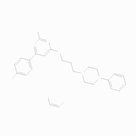 Cc1nc(OCCCN2CCN(c3ccccc3)CC2)cc(-c2ccc(F)cc2)n1.O=C(O)/C=C\C(=O)O